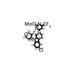 COc1nc(N2CCc3c([nH]c4ccc(Cl)cc34)[C@@H]2C[C@H]2CCCOC2)cc(C(F)(F)F)n1